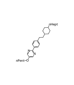 CCCCCCCC1CCC(CCc2ccc(-c3ncc(OCCCCC)cn3)cc2)CC1